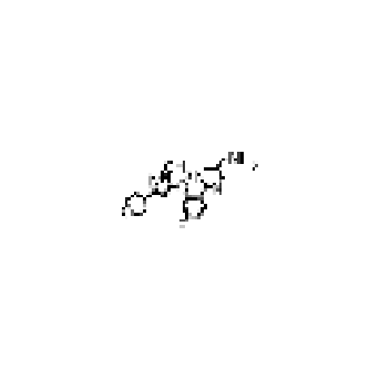 Cn1nc(C2CCOCC2)cc1Oc1cc(F)ccc1-c1ncc(CN)cn1